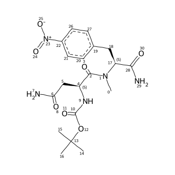 CN(C(=O)[C@H](CC(N)=O)NC(=O)OC(C)(C)C)[C@@H](Cc1ccc([N+](=O)[O-])cc1)C(N)=O